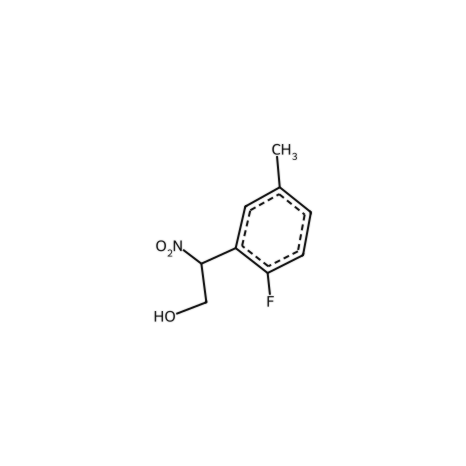 Cc1ccc(F)c(C(CO)[N+](=O)[O-])c1